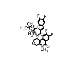 CN(C(=O)c1cc2cc(F)c(F)cc2n1C(=O)OC(C)(C)C)[C@@H]1COCc2c1c1cc(F)c(F)cc1c(=O)n2C